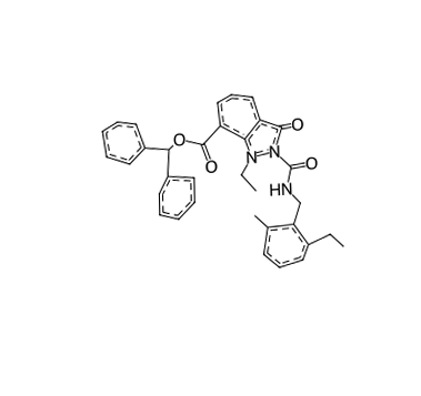 CCc1cccc(C)c1CNC(=O)n1c(=O)c2cccc(C(=O)OC(c3ccccc3)c3ccccc3)c2n1CC